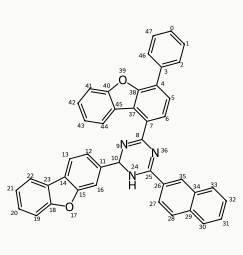 c1ccc(-c2ccc(C3=NC(c4ccc5c(c4)oc4ccccc45)NC(c4ccc5ccccc5c4)=N3)c3c2oc2ccccc23)cc1